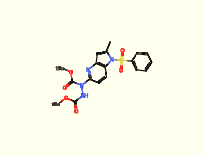 Cc1cc2nc(N(NC(=O)OC(C)(C)C)C(=O)OC(C)(C)C)ccc2n1S(=O)(=O)c1ccccc1